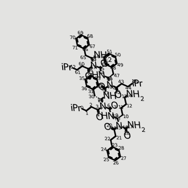 CC(C)CCC(=O)N(C(=O)N[C@@H](CCCCN)N(C(N)=O)C(=O)CCc1ccccc1)[C@H](Cc1ccccc1)NC(=O)N(C(=O)CCC(C)C)[C@H](Cc1ccccc1)NC(=O)N(C(=O)CCC(C)C)[C@@H](N)Cc1ccccc1